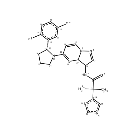 CC(C)(C(=O)NC1C=NN2C=CC(N3CCC[C@@H]3c3cc(F)ccc3F)=NC12)n1cncn1